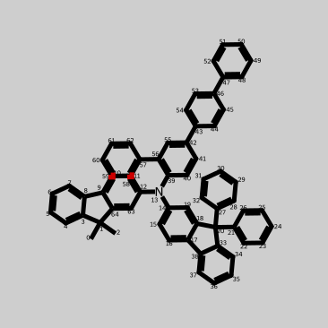 CC1(C)c2ccccc2-c2ccc(N(c3ccc4c(c3)C(c3ccccc3)(c3ccccc3)c3ccccc3-4)c3ccc(-c4ccc(-c5ccccc5)cc4)cc3-c3ccccc3)cc21